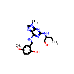 CCC(CO)Nc1nc(NCc2cc(OC)ccc2O)c2ncn(C)c2n1